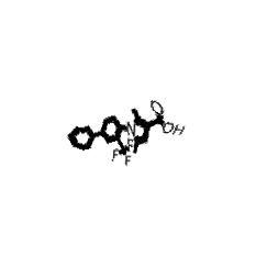 Cc1cc(C(=O)O)c(C)n1-c1ccc(-c2ccccc2)cc1C(F)(F)F